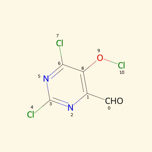 O=Cc1nc(Cl)nc(Cl)c1OCl